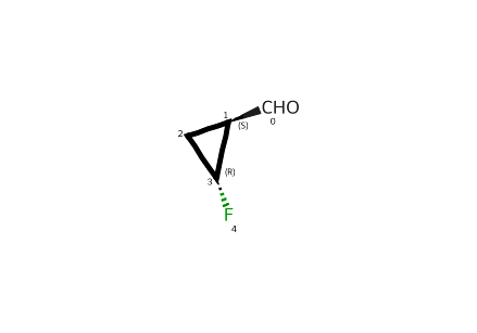 O=C[C@@H]1C[C@H]1F